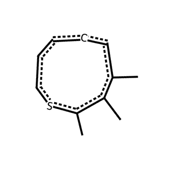 Cc1cccccsc(C)c1C